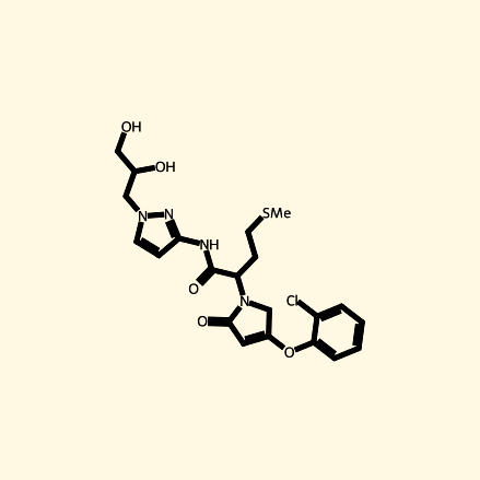 CSCCC(C(=O)Nc1ccn(CC(O)CO)n1)N1CC(Oc2ccccc2Cl)=CC1=O